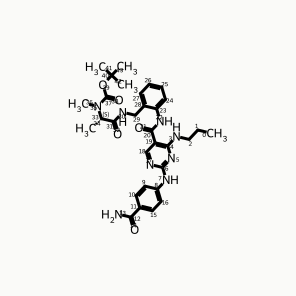 CCCNc1nc(Nc2ccc(C(N)=O)cc2)ncc1C(=O)Nc1ccccc1CNC(=O)[C@H](C)N(C)C(=O)OC(C)(C)C